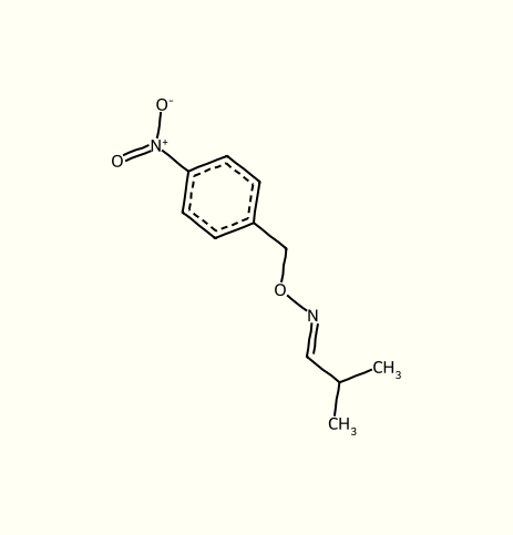 CC(C)/C=N/OCc1ccc([N+](=O)[O-])cc1